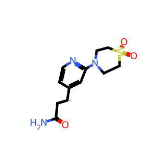 NC(=O)C[CH]c1ccnc(N2CCS(=O)(=O)CC2)c1